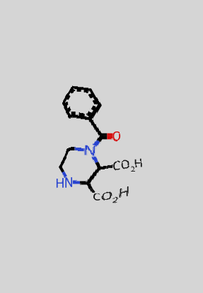 O=C(O)C1NCCN(C(=O)c2ccccc2)C1C(=O)O